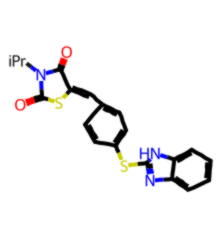 CC(C)N1C(=O)S/C(=C\c2ccc(Sc3nc4ccccc4[nH]3)cc2)C1=O